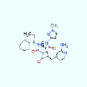 CCC(NC(=O)N1C(=O)[C@H](Cc2ccnc(N)c2)[C@H]1C(=O)N(C)c1ccn(C)n1)C1CCCCC1